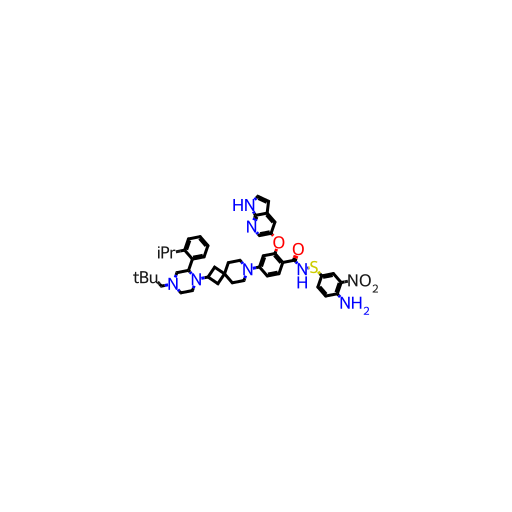 CC(C)c1ccccc1C1CN(CC(C)(C)C)CCN1C1CC2(CCN(c3ccc(C(=O)NSc4ccc(N)c([N+](=O)[O-])c4)c(Oc4cnc5[nH]ccc5c4)c3)CC2)C1